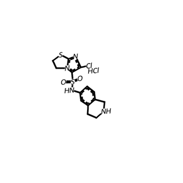 Cl.O=S(=O)(Nc1ccc2c(c1)CCNC2)c1c(Cl)nc2n1CCS2